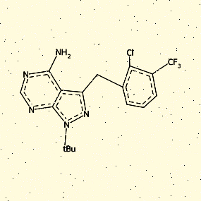 CC(C)(C)n1nc(Cc2cccc(C(F)(F)F)c2Cl)c2c(N)ncnc21